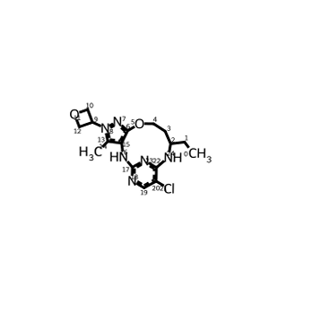 CCC1CCOc2nn(C3COC3)c(C)c2Nc2ncc(Cl)c(n2)N1